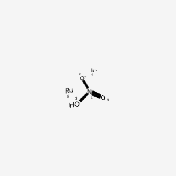 O=[N+]([O-])O.[Ir].[Ru]